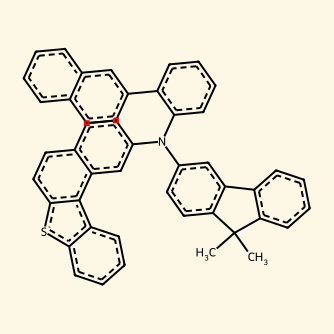 CC1(C)c2ccccc2-c2cc(N(c3ccc4ccc5sc6ccccc6c5c4c3)c3ccccc3-c3ccc4ccccc4c3)ccc21